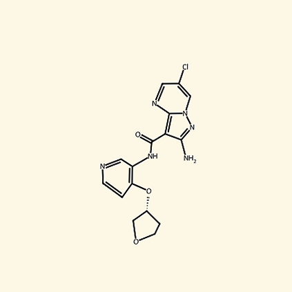 Nc1nn2cc(Cl)cnc2c1C(=O)Nc1cnccc1O[C@@H]1CCOC1